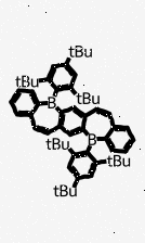 CC(C)(C)c1cc(C(C)(C)C)c(B2c3ccccc3C=Cc3cc4c(cc32)C=Cc2ccccc2B4c2c(C(C)(C)C)cc(C(C)(C)C)cc2C(C)(C)C)c(C(C)(C)C)c1